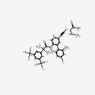 CN[C@H](CC#Cc1cc(-c2ccc(F)cc2C)c(N(C)C(=O)C(C)(C)c2cc(C(F)(F)F)cc(C(F)(F)F)c2)cn1)C(=O)O